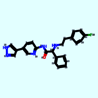 O=C(Nc1ccc(-c2cn[nH]c2)cn1)C(NCCc1ccc(F)cc1)c1ccccc1